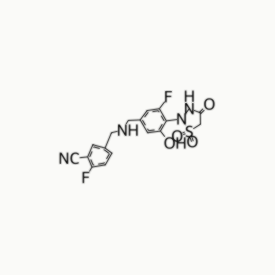 N#Cc1cc(CNCc2cc(O)c(N3NC(=O)CS3(=O)=O)c(F)c2)ccc1F